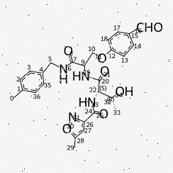 Cc1ccc(CNC(=O)C(COc2ccc(C=O)cc2)NC(=O)[C@@H](NC(=O)c2cc(C)on2)[C@@H](C)O)cc1